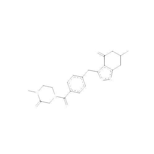 CC1CC(=O)c2c(noc2Cc2ccc(C(=O)N3CCN(C)C(=O)C3)cc2)C1